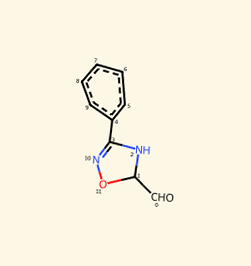 O=CC1NC(c2ccccc2)=NO1